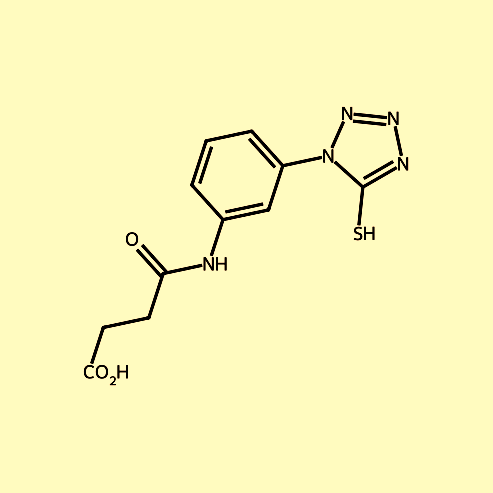 O=C(O)CCC(=O)Nc1cccc(-n2nnnc2S)c1